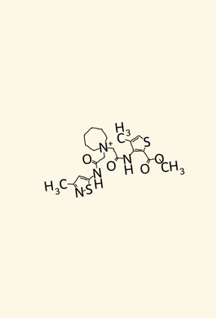 COC(=O)c1scc(C)c1NC(=O)C[N+]1(CC(=O)Nc2cc(C)ns2)CCCCCC1